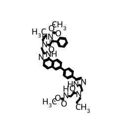 CCCN(Cc1ncc(-c2ccc(-c3ccc4c(ccc5nc(CN(CCC)C(=O)[C@H](NC(=O)OC)c6ccccc6)[nH]c54)c3)cc2)[nH]1)C(=O)CNC(=O)OC